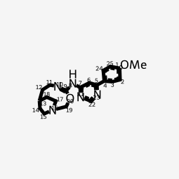 COc1ccc(-c2cc(N/C3=N/CCC4CCN(CC4)CO3)ncn2)cc1